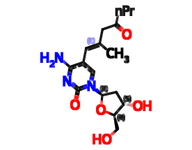 CCCC(=O)C/C(C)=C/c1cn([C@H]2C[C@H](O)[C@@H](CO)O2)c(=O)nc1N